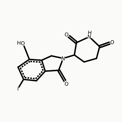 O=C1CCC(N2Cc3c(O)cc(I)cc3C2=O)C(=O)N1